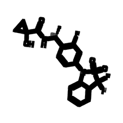 C[C@@H](NC(=O)C1(O)CC1)c1ccc(N2c3ccccc3C(F)(F)S2(=O)=O)cc1F